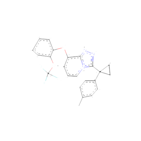 Cc1ccc(C2(c3nnc4c(Oc5ccccc5OC(F)(F)F)cccn34)CC2)cc1